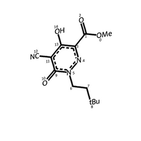 COC(=O)c1nn(CCC(C)(C)C)c(=O)c(C#N)c1O